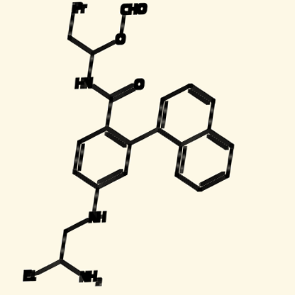 CCC(N)CNc1ccc(C(=O)NC(CC(C)C)OC=O)c(-c2cccc3ccccc23)c1